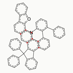 c1ccc(-c2ccccc2-c2c(-c3ccccc3)cccc2N(c2ccc3c(c2)C(c2ccccc2)(c2ccccc2)c2ccccc2-3)c2cccc3c2oc2ccccc23)cc1